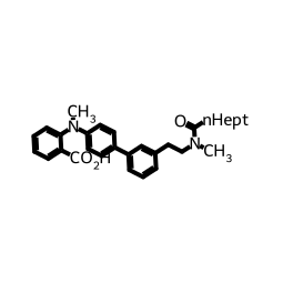 CCCCCCCC(=O)N(C)CCc1cccc(-c2ccc(N(C)c3ccccc3C(=O)O)cc2)c1